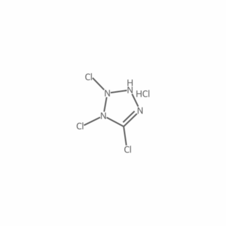 Cl.ClC1=NNN(Cl)N1Cl